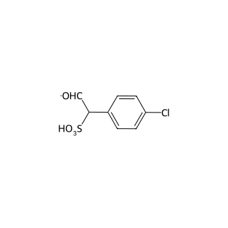 O=[C]C(c1ccc(Cl)cc1)S(=O)(=O)O